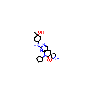 CC1(O)CCC(Nc2ncc3c(n2)N(C2CCCC2)C(=O)[C@]2(CCNC2=O)C3)CC1